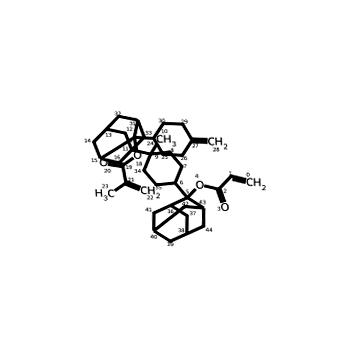 C=CC(=O)OC1(C2CCC(C)(C34CC5CC(C3)C(OC(=O)C(=C)C)(C3CCC(=C)CC3)C(C5)C4)CC2)C2CC3CC(C2)CC1C3